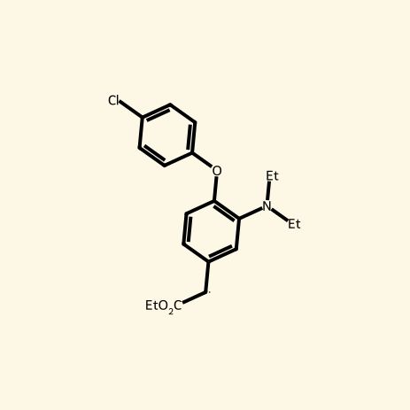 CCOC(=O)[CH]c1ccc(Oc2ccc(Cl)cc2)c(N(CC)CC)c1